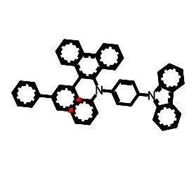 C1=CC(n2c3ccccc3c3ccccc32)CC=C1N(c1ccccc1)c1c(-c2cccc(-c3ccccc3)c2)c2ccccc2c2ccccc12